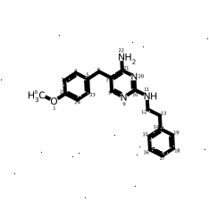 COc1ccc(Cc2cnc(NCCc3ccccc3)nc2N)cc1